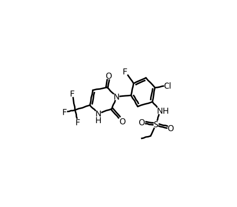 CCS(=O)(=O)Nc1cc(-n2c(=O)cc(C(F)(F)F)[nH]c2=O)c(F)cc1Cl